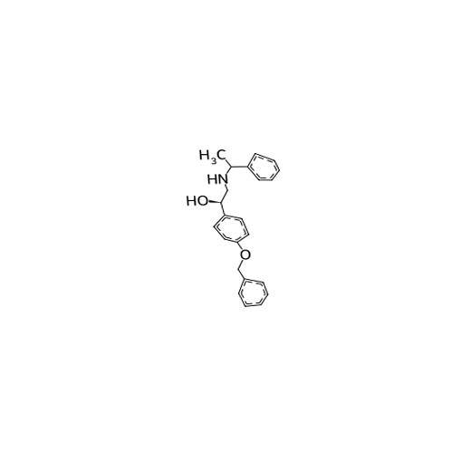 CC(NC[C@H](O)c1ccc(OCc2ccccc2)cc1)c1ccccc1